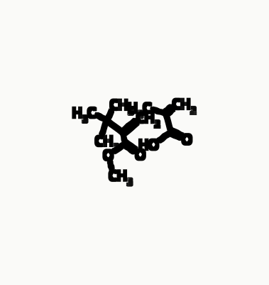 C=C(C(=O)OC)C(C)(C)C.C=C(C)C(=O)O